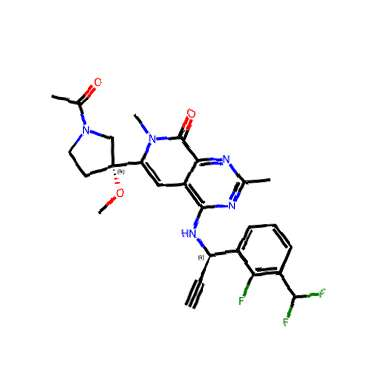 C#C[C@@H](Nc1nc(C)nc2c(=O)n(C)c([C@@]3(OC)CCN(C(C)=O)C3)cc12)c1cccc(C(F)F)c1F